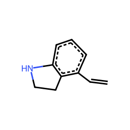 C=Cc1cccc2c1CCN2